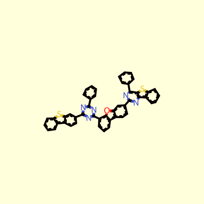 c1ccc(-c2nc(-c3ccc4c(c3)sc3ccccc34)nc(-c3cccc4c3oc3cc(-c5nc(-c6ccccc6)c6sc7ccccc7c6n5)ccc34)n2)cc1